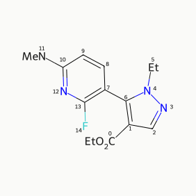 CCOC(=O)c1cnn(CC)c1-c1ccc(NC)nc1F